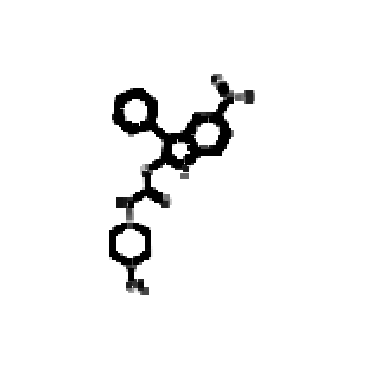 CN1CCN(NC(=O)Oc2[nH]c3ccc([N+](=O)[O-])cc3c2-c2ccccc2)CC1